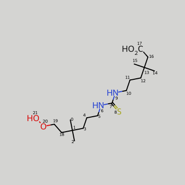 CC(C)(CCCNC(=S)NCCCC(C)(C)CC(=O)O)CCOO